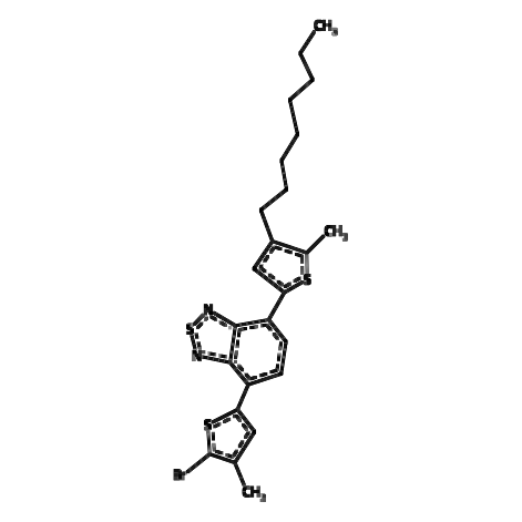 CCCCCCCCc1cc(-c2ccc(-c3cc(C)c(Br)s3)c3nsnc23)sc1C